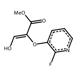 COC(=O)/C(=C/O)Oc1cccnc1F